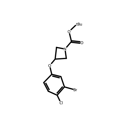 CC(C)(C)OC(=O)N1CC(Oc2ccc(Cl)c(Br)c2)C1